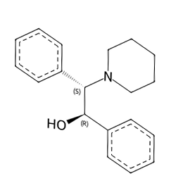 O[C@H](c1ccccc1)[C@H](c1ccccc1)N1CCCCC1